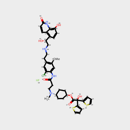 COc1cc(NC(=O)CCN(C)[C@H]2CC[C@H](OC(=O)C(O)(c3cccs3)c3cccs3)CC2)c(Cl)cc1CCNC[C@H](O)c1ccc(O)c2[nH]c(=O)ccc12.F